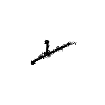 C=C1CCCC(C)=C1/C=C/C(C)=C/C=C/C(C)=C/C(=O)NCCCC[C@@H](NC(=O)/C=C(C)/C=C/C=C(C)/C=C/C1=C(C)CCCC1=C)C(=O)NCCOCCOCCNC(=O)CCOCCOCCOCCOCCC